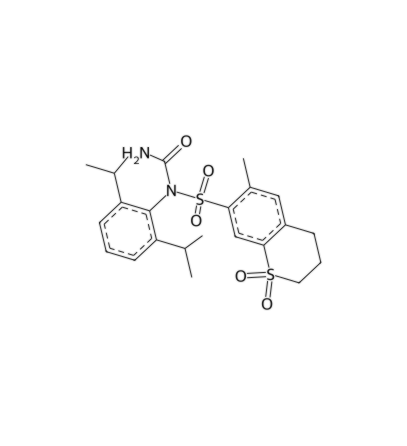 Cc1cc2c(cc1S(=O)(=O)N(C(N)=O)c1c(C(C)C)cccc1C(C)C)S(=O)(=O)CCC2